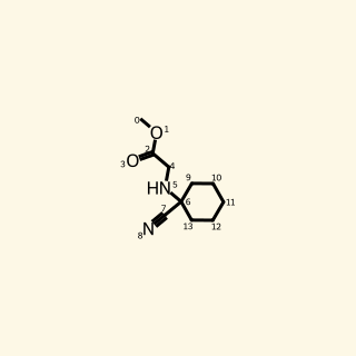 COC(=O)CNC1(C#N)CCCCC1